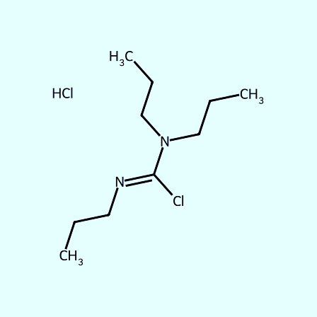 CCCN=C(Cl)N(CCC)CCC.Cl